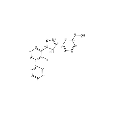 Cc1c(-c2ccccc2)cccc1-c1nnc(-c2cccc(CO)c2)[nH]1